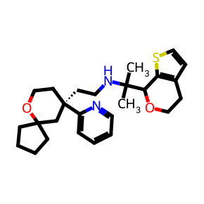 CC(C)(NCC[C@@]1(c2ccccn2)CCOC2(CCCC2)C1)C1OCCc2ccsc21